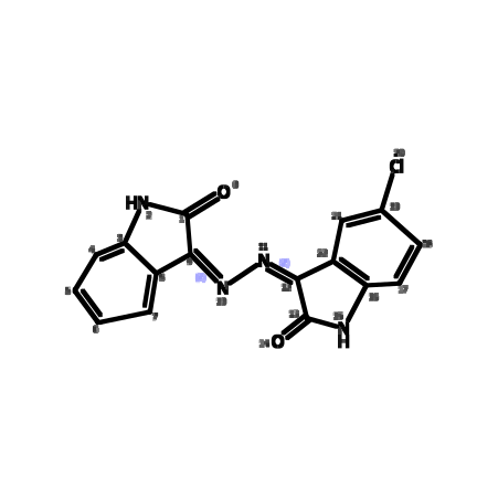 O=C1Nc2ccccc2/C1=N/N=C1\C(=O)Nc2ccc(Cl)cc21